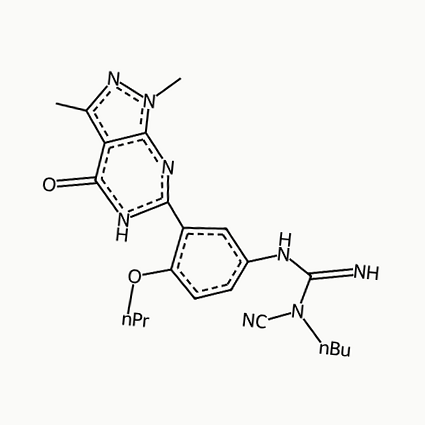 CCCCN(C#N)C(=N)Nc1ccc(OCCC)c(-c2nc3c(c(C)nn3C)c(=O)[nH]2)c1